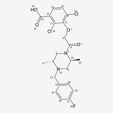 C[C@@H]1CN(C(=O)COc2c(Cl)ccc(C(=O)O)c2Cl)[C@@H](C)CN1Cc1ccc(F)cc1